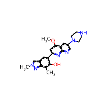 COc1cc(-c2cc3cn(C)nc3c(C)c2O)nc2ncc(N3CCNCC3)cc12